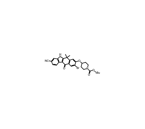 CC(C)(C)OC(=O)N1CCC(Oc2cc3c(cc2Br)C(=O)c2c([nH]c4cc(C#N)ccc24)C3(C)C)CC1